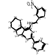 O=[N+]([O-])c1cccc(CNc2nc(-c3cnccn3)nc3sc4c(c23)CCCC4)c1